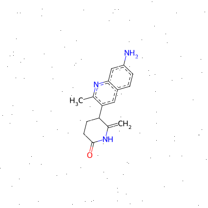 C=C1NC(=O)CCC1c1cc2ccc(N)cc2nc1C